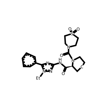 CCn1nc(NC(=O)[C@@H]2CCCCN2C(=O)N2CCS(=O)(=O)CC2)nc1-c1ccccc1